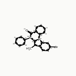 Cc1c2ccc(Br)cc2n2c3ccccc3c(=O)n(-c3ccccc3)c12